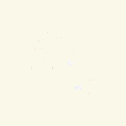 CC(C)(C)c1cc(-c2csc(CCC(=O)NO)n2)cc(C(C)(C)C)c1O